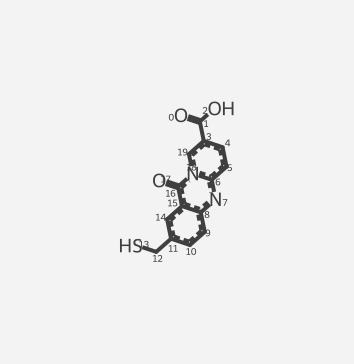 O=C(O)c1ccc2nc3ccc(CS)cc3c(=O)n2c1